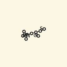 c1ccc(-c2nc(-c3ccc(-c4ccc(-c5ccc6c(c5)sc5ccccc56)c5c4oc4ccccc45)cc3)cc(-c3ccccc3-c3ccccn3)n2)cc1